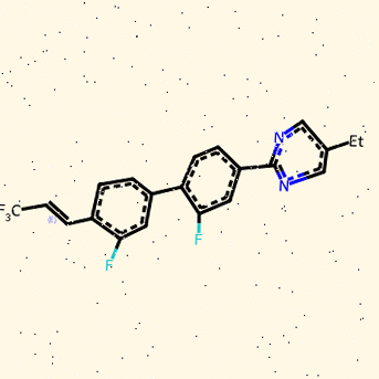 CCc1cnc(-c2ccc(-c3ccc(/C=C/C(F)(F)F)c(F)c3)c(F)c2)nc1